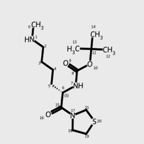 CNCCCC[C@H](NC(=O)OC(C)(C)C)C(=O)N1CCSC1